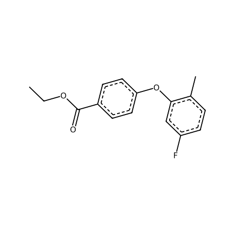 CCOC(=O)c1ccc(Oc2cc(F)ccc2C)cc1